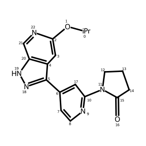 CC(C)Oc1cc2c(-c3ccnc(N4CCCC4=O)c3)n[nH]c2cn1